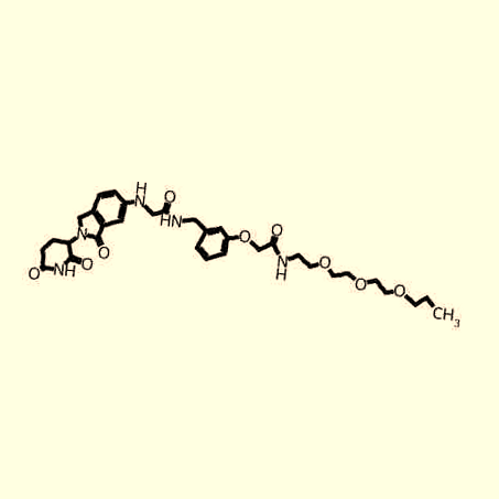 CCCOCCOCCOCCNC(=O)COc1cccc(CNC(=O)CNc2ccc3c(c2)C(=O)N(C2CCC(=O)NC2=O)C3)c1